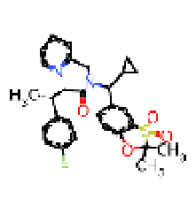 C[C@H](CC(=O)N(Cc1ccccn1)C(c1ccc2c(c1)S(=O)(=O)C(C)(C)O2)C1CC1)c1ccc(F)cc1